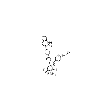 Nc1c(Cl)cc(C[C@@H](CC(=O)N2CCC(N3CCc4ccccc4NC3=O)CC2)C(=O)N2CCC(NCC3CC3)CC2)cc1C(F)(F)F